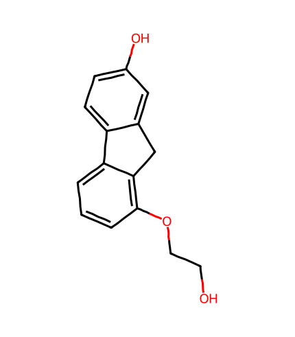 OCCOc1cccc2c1Cc1cc(O)ccc1-2